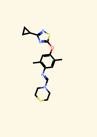 Cc1cc(Oc2nc(C3CC3)ns2)c(C)cc1/N=C/N1CCSCC1